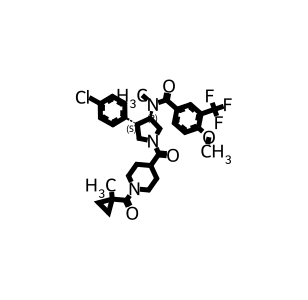 COc1ccc(C(=O)N(C)[C@H]2CN(C(=O)C3CCN(C(=O)C4(C)CC4)CC3)C[C@@H]2c2ccc(Cl)cc2)cc1C(F)(F)F